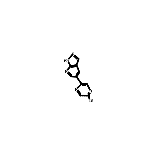 N#Cc1cnc(-c2cnc3[nH]ncc3c2)cn1